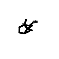 CC(=O)OC1CC2CC[C@@]1(C)C2(C)C